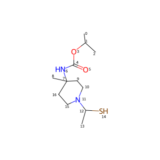 CC(C)OC(=O)NC1(C)CCN(C(C)S)CC1